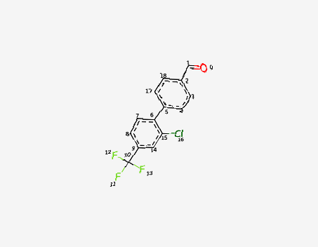 O=Cc1ccc(-c2ccc(C(F)(F)F)cc2Cl)cc1